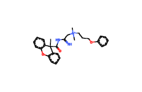 CC1(C(=O)NC(=N)C[N+](C)(C)CCCOc2ccccc2)c2ccccc2Oc2ccccc21